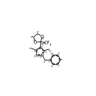 Cc1nn(Cc2ccccc2)c(C)c1C1(C(F)(F)F)OCCO1